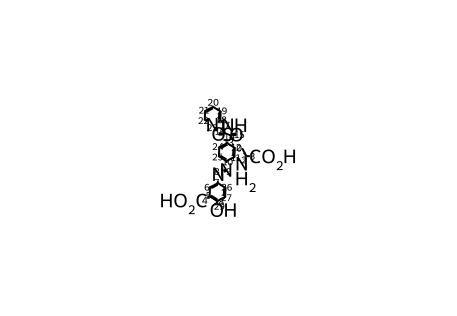 CC(N)C(=O)O.O=C(O)c1cc(N=Nc2ccc(S(=O)(=O)Nc3ccccn3)cc2)ccc1O